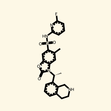 Cc1cc2c(cc1S(=O)(=O)Nc1cccc(F)n1)oc(=O)n2[C@H](C)c1cccc2c1CNCC2